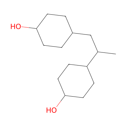 CC(CC1CCC(O)CC1)C1CCC(O)CC1